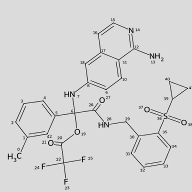 Cc1cccc(C(Nc2ccc3c(N)nccc3c2)(OC(=O)C(F)(F)F)C(=O)NCc2ccccc2S(=O)(=O)C2CC2)c1